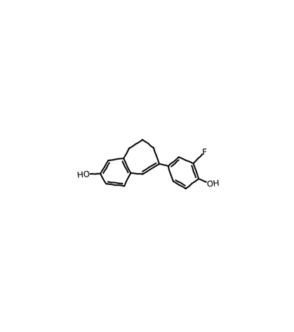 Oc1ccc2c(c1)CCCC(c1ccc(O)c(F)c1)=C2